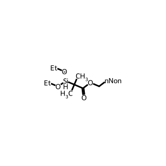 CCCCCCCCCCOC(=O)C(C)(C)[SiH](OCC)OCC